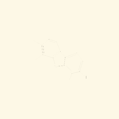 Cc1c(I)ccc2c1sc1c(C)c(I)ccc12